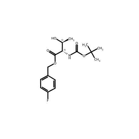 C[C@H](O)[C@H](NC(=O)OC(C)(C)C)C(=O)OCc1ccc(F)cc1